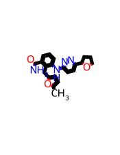 Cc1ccc(Cc2c(Nc3ccc(C4CCCO4)nn3)cccc2C(N)=O)o1